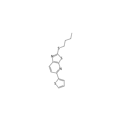 CCCCSc1nc2ccc(-c3cccs3)nc2s1